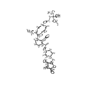 Cc1cc(OCCC(C)(C)O)ccc1-c1cccc(COc2ccc(Cn3oc(=O)[nH]c3=O)cc2)c1Cl